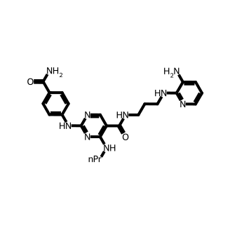 CCCNc1nc(Nc2ccc(C(N)=O)cc2)ncc1C(=O)NCCCNc1ncccc1N